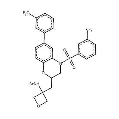 CC(=O)NC1(CC2CN(S(=O)(=O)c3cccc(C(F)(F)F)c3)c3cc(-c4cccc(C(F)(F)F)n4)ccc3O2)COC1